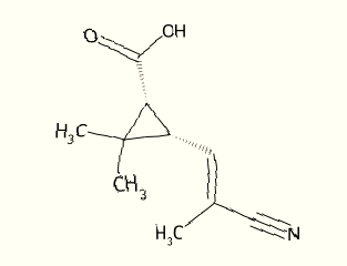 C/C(C#N)=C\[C@H]1[C@@H](C(=O)O)C1(C)C